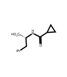 CC(C)C[C@@H](NC(=O)C1CC1)C(=O)O